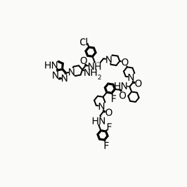 NC1(C(=O)N[C@@H](CCN2CCC(OC3CCN(C(=O)[C@H](NC(=O)c4cccc(C5CCCN(C(=O)CNCc6ccc(F)cc6F)C5)c4F)C4CCCCC4)CC3)CC2)c2ccc(Cl)cc2)CCN(c2ncnc3[nH]ccc23)CC1